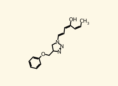 C\C=C/C(O)=C\C=C\N1CC(COc2ccccc2)N=N1